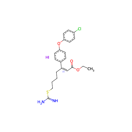 CCOC(=O)/C=C(/CCCCSC(=N)N)c1ccc(Oc2ccc(Cl)cc2)cc1.I